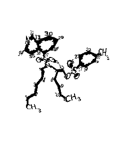 CCCCCCN(C(CCCC)COS(=O)(=O)c1ccc(C)cc1)S(=O)(=O)c1cccc2cnccc12